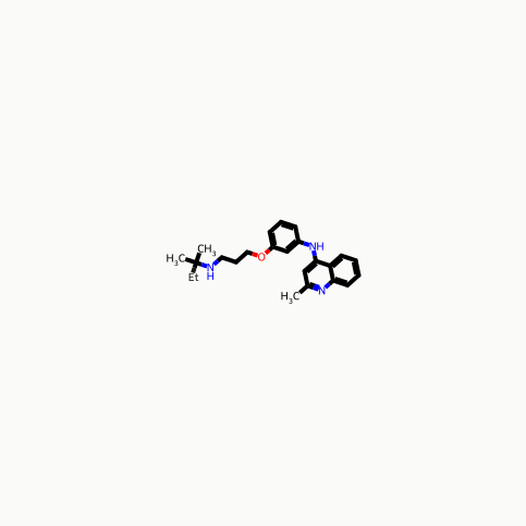 CCC(C)(C)NCCCOc1cccc(Nc2cc(C)nc3ccccc23)c1